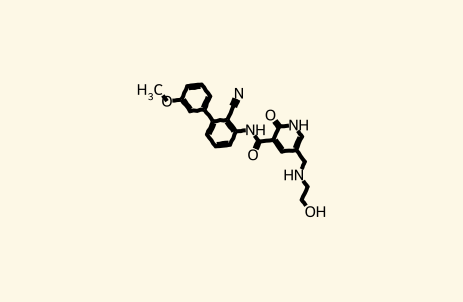 COc1cccc(-c2cccc(NC(=O)c3cc(CNCCO)c[nH]c3=O)c2C#N)c1